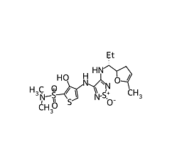 CC[C@@H](Nc1n[s+]([O-])nc1Nc1csc(S(=O)(=O)N(C)C)c1O)C1CC=C(C)O1